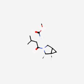 COC(=O)N[C@H](C(=O)N1CC2C[C@@H]2[C@H]1C)C(C)C